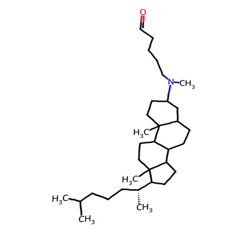 CC(C)CCC[C@@H](C)C1CCC2C3CCC4CC(N(C)CCCCC=O)CCC4(C)C3CCC21C